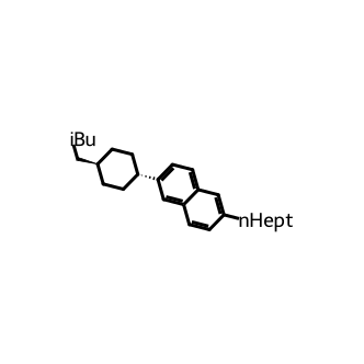 CCCCCCCc1ccc2cc([C@H]3CC[C@H](CC(C)CC)CC3)ccc2c1